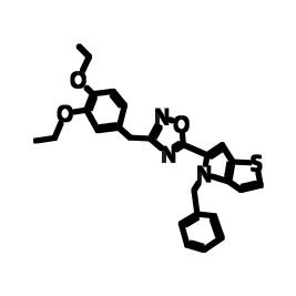 CCOc1ccc(Cc2noc(-c3cc4sccc4n3Cc3ccccc3)n2)cc1OCC